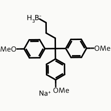 [BH3-]CCCC(c1ccc(OC)cc1)(c1ccc(OC)cc1)c1ccc(OC)cc1.[Na+]